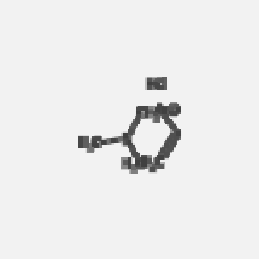 C=COC(C)=O.CN(C)C.Cl